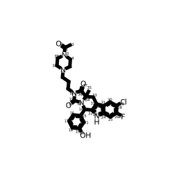 CC(=O)N1CCN(CCCN2C(=O)N3C(c4cccc(O)c4)c4[nH]c5cc(F)c(Cl)cc5c4CC3(C)C2=O)CC1